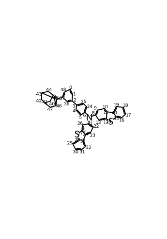 c1cc(-c2ccc(N(c3ccc4c(c3)sc3ccccc34)c3ccc4c(c3)sc3ccccc34)cc2)cc(C2C3CC4CC(C3)CC2C4)c1